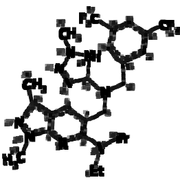 CCN(c1nc2c(cc1CN(Cc1cc(C(F)(F)F)cc(C(F)(F)F)c1)C1N=NN(C)N1)c(C)nn2C)C(C)C